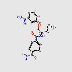 CN(C)C(=O)c1ccc(C(=O)N[C@@H](COc2cccc(C(=N)N)c2)CC(=O)O)cc1